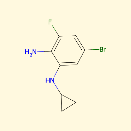 Nc1c(F)cc(Br)cc1NC1CC1